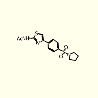 CC(=O)Nc1nc(-c2ccc(S(=O)(=O)N3CCCC3)cc2)cs1